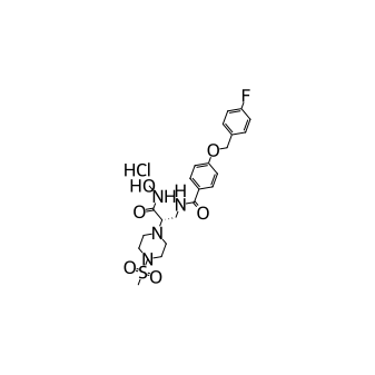 CS(=O)(=O)N1CCN([C@@H](CNC(=O)c2ccc(OCc3ccc(F)cc3)cc2)C(=O)NO)CC1.Cl